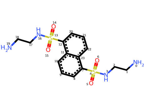 NCCNS(=O)(=O)c1cccc2c(S(=O)(=O)NCCN)cccc12